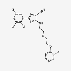 N#Cc1nc(-c2cc(Cl)cc(Cl)c2Cl)oc1NCCOCCOc1ccncc1F